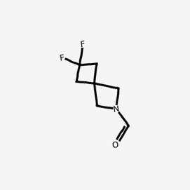 O=CN1CC2(C1)CC(F)(F)C2